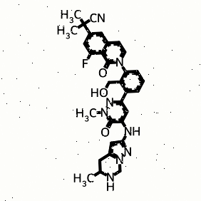 CC1Cc2cc(Nc3cc(-c4cccc(-n5ccc6cc(C(C)(C)C#N)cc(F)c6c5=O)c4CO)nn(C)c3=O)nn2CN1